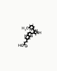 Cc1cccc(-c2n[nH]cc2-c2ccc3ncc(CCC(=O)O)cc3n2)n1